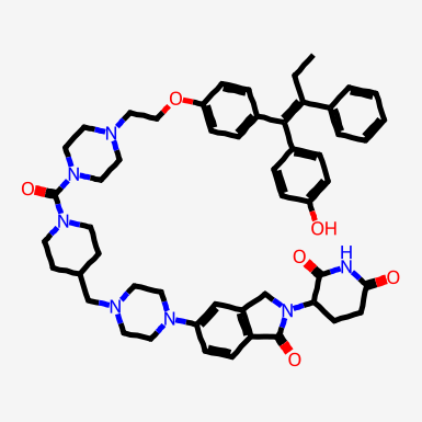 CC/C(=C(/c1ccc(O)cc1)c1ccc(OCCN2CCN(C(=O)N3CCC(CN4CCN(c5ccc6c(c5)CN(C5CCC(=O)NC5=O)C6=O)CC4)CC3)CC2)cc1)c1ccccc1